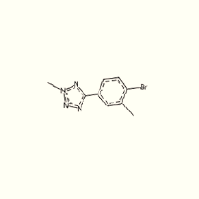 Cc1cc(-c2nnn(C)n2)ccc1Br